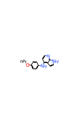 CCCOc1ccc(Nc2ccnc3[nH]ccc23)cc1